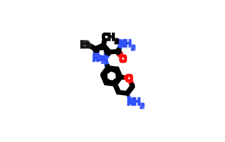 CCc1nn(-c2ccc3c(c2)OC[C@H](N)C3)c(C(N)=O)c1C